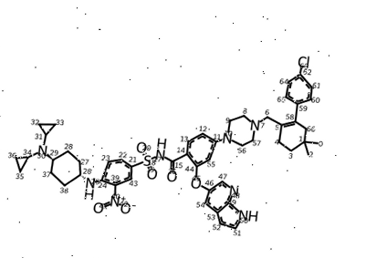 CC1(C)CCC(CN2CCN(c3ccc(C(=O)NS(=O)(=O)c4ccc(N[C@H]5CC[C@H](N(C6CC6)C6CC6)CC5)c([N+](=O)[O-])c4)c(Oc4cnc5[nH]ccc5c4)c3)CC2)=C(c2ccc(Cl)cc2)C1